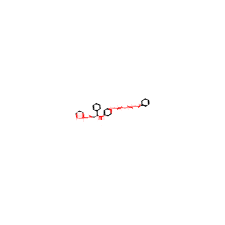 O=C(c1ccc(OCCOCCOCc2ccccc2)cc1)C(CCOC1CCCCO1)c1ccccc1